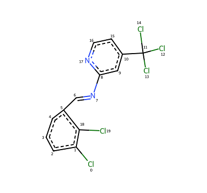 Clc1cccc(/C=N/c2cc(C(Cl)(Cl)Cl)ccn2)c1Cl